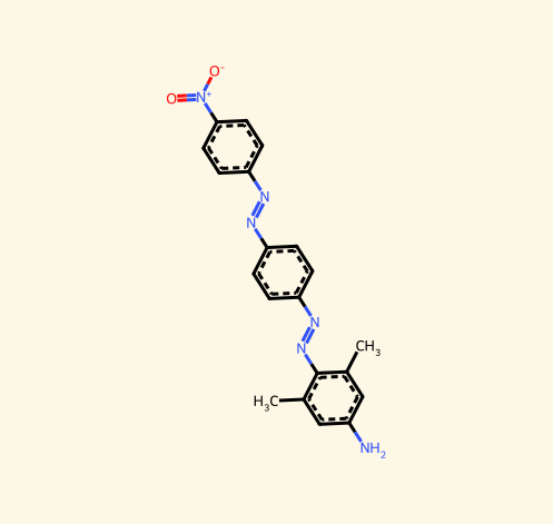 Cc1cc(N)cc(C)c1N=Nc1ccc(N=Nc2ccc([N+](=O)[O-])cc2)cc1